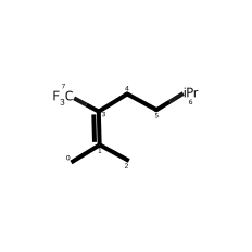 CC(C)=C(CCC(C)C)C(F)(F)F